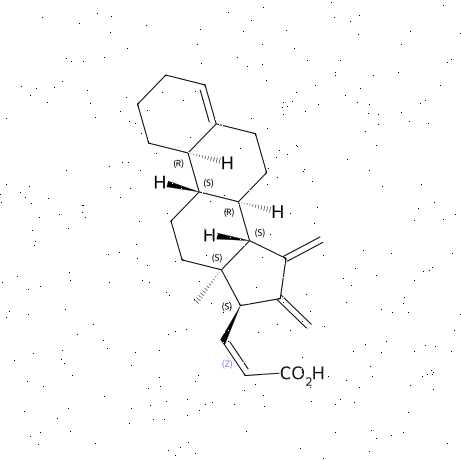 C=C1C(=C)[C@H]2[C@@H]3CCC4=CCCC[C@@H]4[C@H]3CC[C@]2(C)[C@@H]1/C=C\C(=O)O